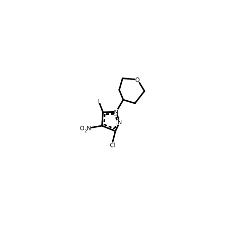 O=[N+]([O-])c1c(Cl)nn(C2CCOCC2)c1I